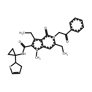 CCc1c(C(=O)NC2(C3CC=CS3)CC2)n(C)c2cc(CC)n(CC(=O)c3ccccc3)c(=O)c12